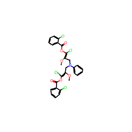 COC(CN(CC(OC)=C(Cl)OC(=O)c1ccccc1Cl)c1ccccc1)=C(Cl)OC(=O)c1ccccc1Cl